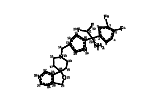 N[C@@](c1ccc(F)c(F)c1)(c1ccc(CN2CCC3(CC2)OCc2ccncc23)cn1)C(F)F